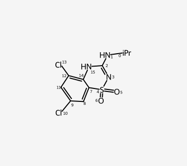 CC(C)NC1=NS(=O)(=O)c2cc(Cl)cc(Cl)c2N1